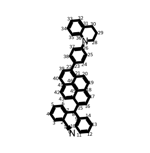 N#Cc1ccccc1C(c1ccccc1)c1ccc2ccc3c(-c4ccc(N5CCCc6ccccc65)cc4)ccc4ccc1c2c43